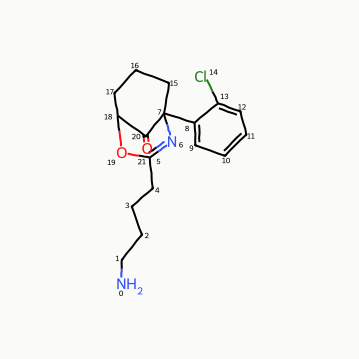 NCCCCC1=NC2(c3ccccc3Cl)CCCC(O1)C2=O